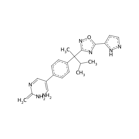 C=C(N)/N=C\C(=C/N)c1ccc(C(C)(c2noc(-c3ccn[nH]3)n2)C(C)C)cc1